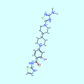 CN(C)c1nsc(N2CCC(C3CCN(c4ccc(C(=O)Nc5nccs5)c(I)c4)CC3)CC2)n1